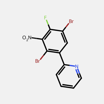 O=[N+]([O-])c1c(F)c(Br)cc(-c2ccccn2)c1Br